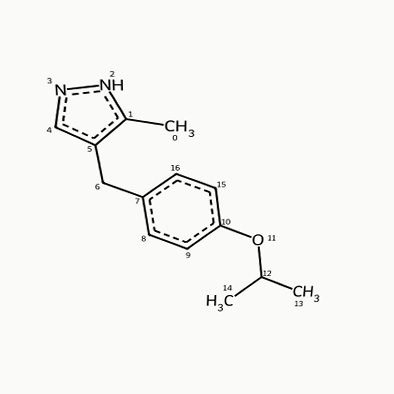 Cc1[nH]ncc1Cc1ccc(OC(C)C)cc1